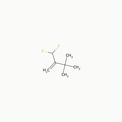 C=C(C(F)F)C(C)(C)C